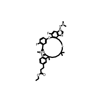 CCOC(=O)CCc1cccc(C2(C)CCCC(C)(C)CSCCc3c(c(F)cc4c3ncn4SN(C)C)Oc3ccc(F)c(c3)-c3nc2nn3C)c1